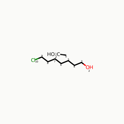 CC(=O)O.OCCCCCCCCl